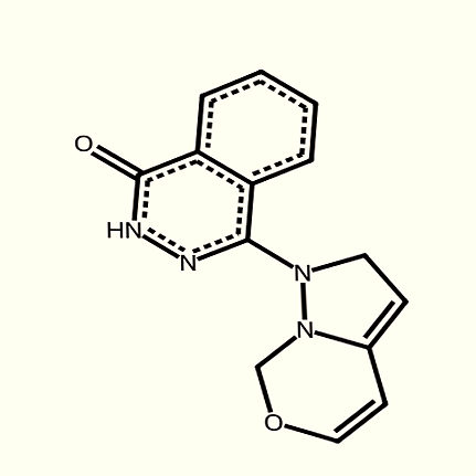 O=c1[nH]nc(N2CC=C3C=COCN32)c2ccccc12